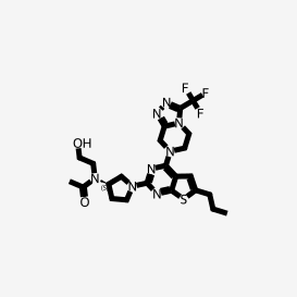 CCCc1cc2c(N3CCn4c(nnc4C(F)(F)F)C3)nc(N3CC[C@H](N(CCO)C(C)=O)C3)nc2s1